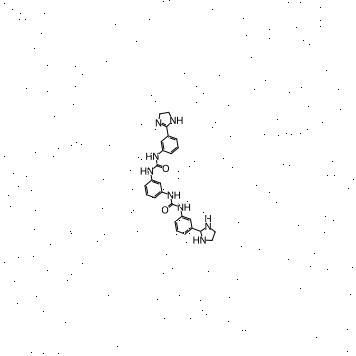 O=C(Nc1cccc(NC(=O)Nc2cccc(C3NCCN3)c2)c1)Nc1cccc(C2=NCCN2)c1